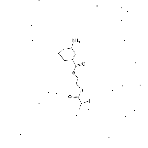 CC(I)C(=O)OCCOC(=O)C1CCCC(N)C1